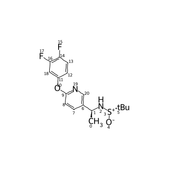 C[C@H](N[S@+]([O-])C(C)(C)C)c1ccc(Oc2ccc(F)c(F)c2)nc1